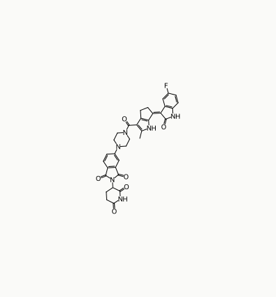 Cc1[nH]c2c(c1C(=O)N1CCN(c3ccc4c(c3)C(=O)N(C3CCC(=O)NC3=O)C4=O)CC1)CCC2=C1C(=O)Nc2ccc(F)cc21